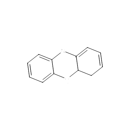 C1=CCC2Oc3ccccc3NC2=C1